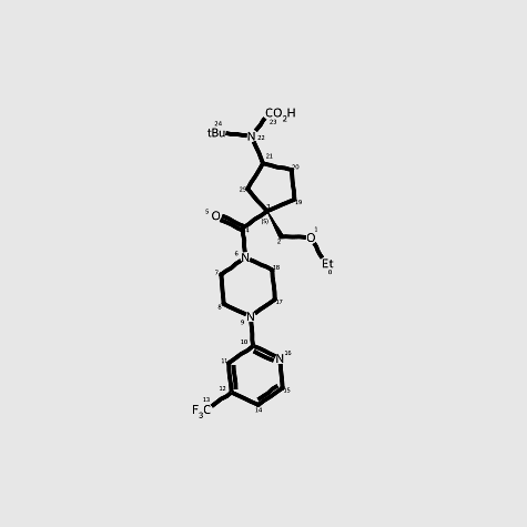 CCOC[C@]1(C(=O)N2CCN(c3cc(C(F)(F)F)ccn3)CC2)CCC(N(C(=O)O)C(C)(C)C)C1